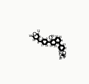 COc1c(-c2ccc(CC3C[C@@H](C)O[C@@H](C)C3)cc2)ccc2c(-c3ccc(OC(F)(F)F)cc3)cccc12